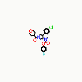 CN(C(=O)Oc1ccc(F)cc1)[C@@H]1CN(C(=O)C2CCOCC2)C[C@H]1c1ccc(Cl)cc1